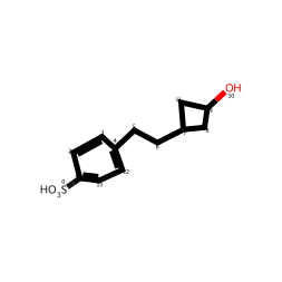 O=S(=O)(O)c1ccc(CCC2CC(O)C2)cc1